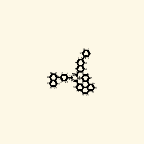 c1ccc(-c2ccc3cc(-c4nc(-c5ccc(-c6cccc7ccccc67)cc5)nc(-c5ccc6ccc7cccc(-c8ccccc8)c7c6c5)n4)ccc3c2)cc1